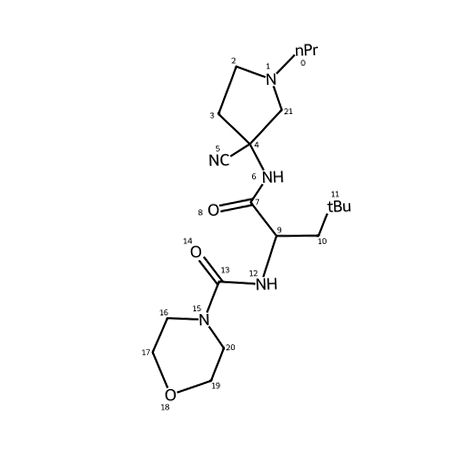 CCCN1CCC(C#N)(NC(=O)C(CC(C)(C)C)NC(=O)N2CCOCC2)C1